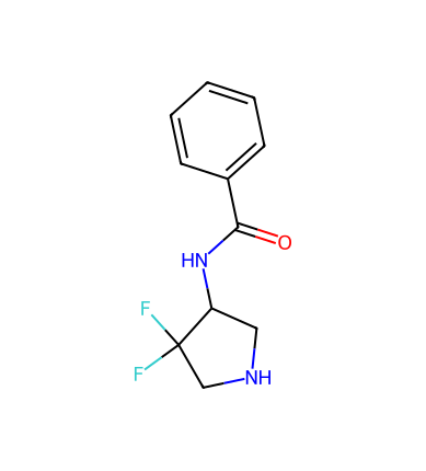 O=C(NC1CNCC1(F)F)c1ccccc1